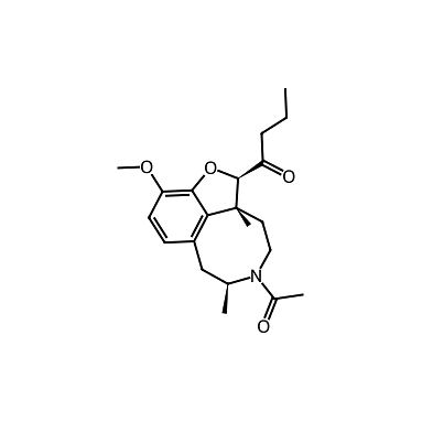 CCCC(=O)[C@@H]1Oc2c(OC)ccc3c2[C@@]1(C)CCN(C(C)=O)[C@@H](C)C3